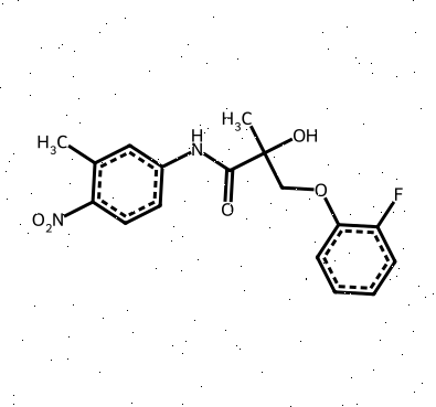 Cc1cc(NC(=O)C(C)(O)COc2ccccc2F)ccc1[N+](=O)[O-]